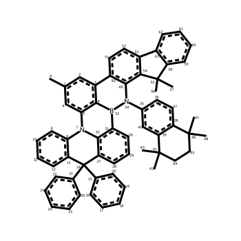 Cc1cc2c3c(c1)N1c4ccccc4C(c4ccccc4)(c4ccccc4)c4cccc(c41)B3N(c1ccc3c(c1)C(C)(C)CCC3(C)C)c1c-2ccc2c1C(C)(C)c1ccccc1-2